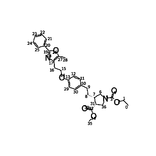 CCOC(=O)N1C[C@@H](CCc2ccc(OCCc3nc(-c4ccccc4)oc3C)cc2)[C@@H](C(=O)OC)C1